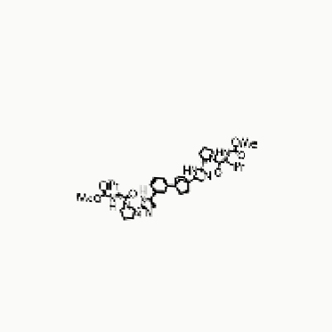 COC(=O)N[C@H](C(=O)N1CCC[C@H]1c1ncc(C23CCC(c4cccc(-c5cnc([C@@H]6CCCN6C(=O)[C@H](NC(=O)OC)C(C)C)[nH]5)c4)(CC2)C3)[nH]1)C(C)C